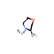 [CH2]N1CCOC[C@H]1C